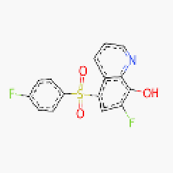 O=S(=O)(c1ccc(F)cc1)c1cc(F)c(O)c2ncccc12